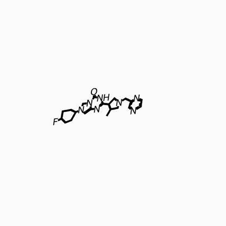 CC1CN(Cc2cnccn2)CC1C1=NC2=CN(C3CCC(F)CC3)CN2C(=O)N1